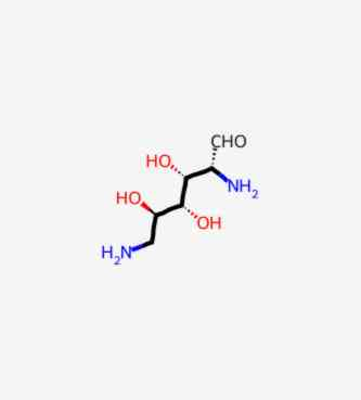 NC[C@@H](O)[C@@H](O)[C@H](O)[C@@H](N)C=O